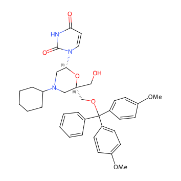 COc1ccc(C(OC[C@]2(CO)CN(C3CCCCC3)C[C@H](n3ccc(=O)[nH]c3=O)O2)(c2ccccc2)c2ccc(OC)cc2)cc1